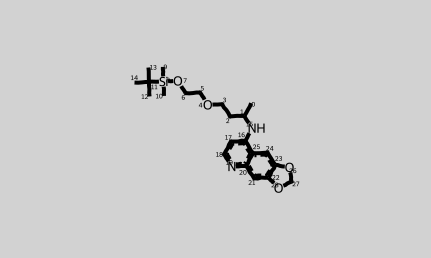 CC(CCOCCO[Si](C)(C)C(C)(C)C)Nc1ccnc2cc3c(cc12)OCO3